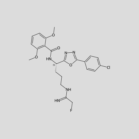 COc1cccc(OC)c1C(=O)N[C@@H](CCCNC(=N)CF)c1nnc(-c2ccc(Cl)cc2)o1